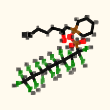 CCCCC(=O)CS1(OS(=O)(=O)C(F)(F)C(F)(F)C(F)(F)C(F)(F)C(F)(F)C(F)(F)C(F)(F)C(F)(F)F)CCCCC1